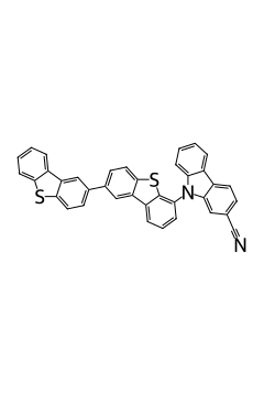 N#Cc1ccc2c3ccccc3n(-c3cccc4c3sc3ccc(-c5ccc6sc7ccccc7c6c5)cc34)c2c1